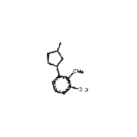 COc1c(C=O)cccc1C1CCC(C)C1